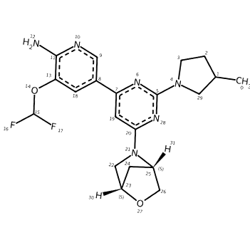 CC1CCN(c2nc(-c3cnc(N)c(OC(F)F)c3)cc(N3C[C@@H]4C[C@H]3CO4)n2)C1